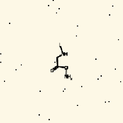 NOC(=O)CNI